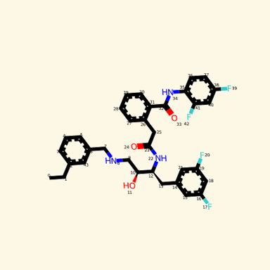 CCc1cccc(CNC[C@H](O)[C@H](Cc2cc(F)cc(F)c2)NC(=O)Cc2ccccc2C(=O)Nc2ccc(F)cc2F)c1